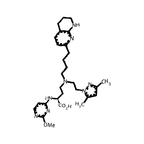 COc1nccc(N[C@@H](CCN(CCCCc2ccc3c(n2)NCCC3)CCn2nc(C)cc2C)C(=O)O)n1